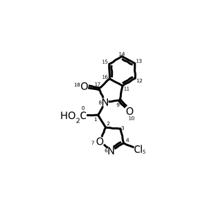 O=C(O)C(C1CC(Cl)=NO1)N1C(=O)c2ccccc2C1=O